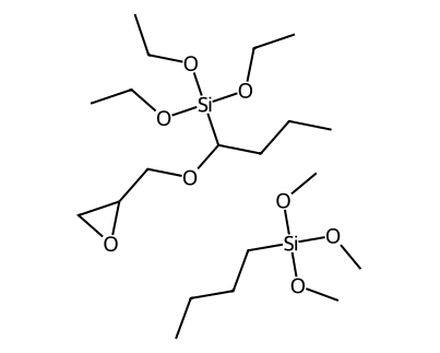 CCCC(OCC1CO1)[Si](OCC)(OCC)OCC.CCCC[Si](OC)(OC)OC